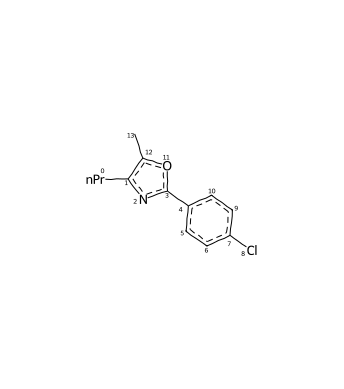 [CH2]CCc1nc(-c2ccc(Cl)cc2)oc1C